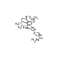 CNC(=O)c1ccnc2c(C(C)[C@H](C)CNc3cc(-c4ccc(C5(N)CC5)nc4)ncn3)ccc(F)c12